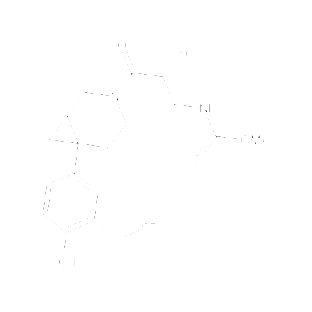 CCC(CNC(=O)OC)C(=O)N1CCC2(c3ccc(C)c(OC(F)(F)F)c3)CC2C1